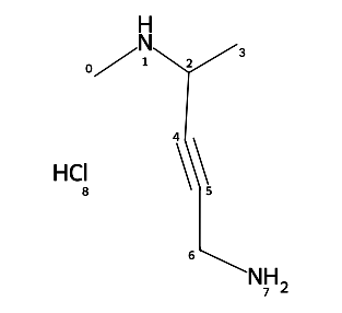 CNC(C)C#CCN.Cl